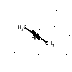 CCCCCCCCc1ccc2[nH]c3c(ccc4c3ccc3c5cc(CCCCCCCC)ccc5sc34)c2c1